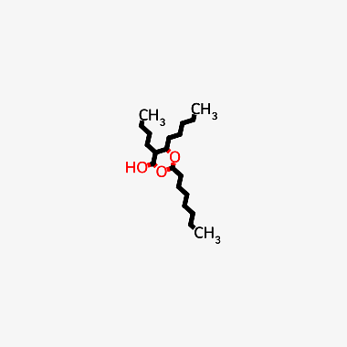 CCCCCCCC1OC(O)C(CCCC)C(CCCCC)O1